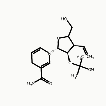 C=C[C@@H]1C(CO)O[C@@H](N2C=CCC(C(N)=O)=C2)[C@@H]1OC(C)(C)O